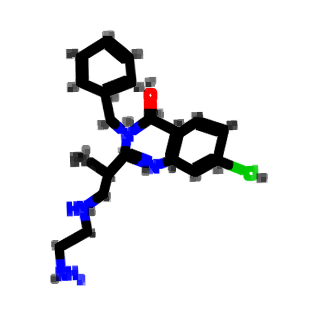 CC(C)C(CNCCN)c1nc2cc(Cl)ccc2c(=O)n1Cc1ccccc1